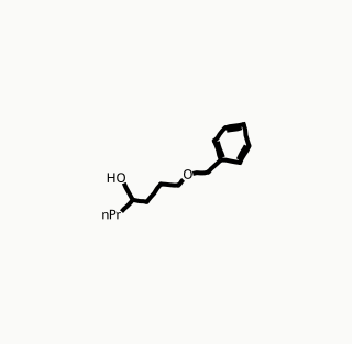 CCCC(O)CCCOCc1ccccc1